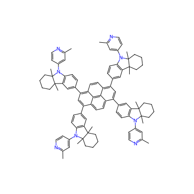 Cc1cc(N2c3ccc(-c4cc(-c5ccc6c(c5)C5(C)CCCCC5(C)N6c5ccnc(C)c5)c5ccc6c(-c7ccc8c(c7)C7(C)CCCCC7(C)N8c7ccnc(C)c7)cc(-c7ccc8c(c7)C7(C)CCCCC7(C)N8c7ccnc(C)c7)c7ccc4c5c76)cc3C3(C)CCCCC23C)ccn1